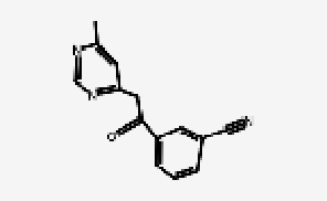 Cc1cc(CC(=O)c2cccc(C#N)c2)ncn1